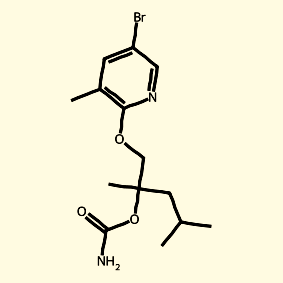 Cc1cc(Br)cnc1OCC(C)(CC(C)C)OC(N)=O